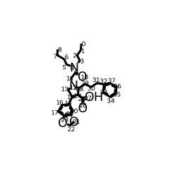 CCCCN(CCCC)C(=O)CN1CC(c2ccc3c(c2)OCO3)C(C(=O)O)C1CCCc1ccccc1